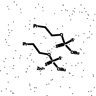 CC(C)CCOP(=S)([S-])OCC(C)C.CC(C)CCOP(=S)([S-])OCC(C)C.[Zn+2]